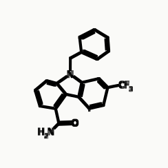 NC(=O)c1cccc2c1c1[c]cc(C(F)(F)F)cc1n2Cc1ccccc1